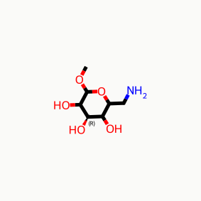 COC1OC(CN)C(O)[C@@H](O)C1O